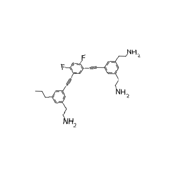 CCCc1cc(C#Cc2cc(C#Cc3cc(CCN)cc(CCN)c3)c(F)cc2F)cc(CCN)c1